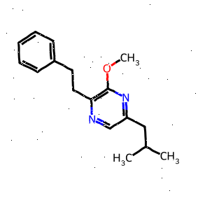 COc1nc(CC(C)C)cnc1CCc1ccccc1